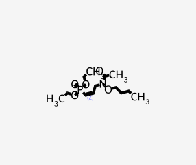 CCCCON(C/C=C\P(=O)(OCC)OCC)C(C)=O